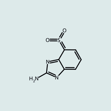 NC1=NC2=CC=CC(=S(=O)=O)C2=N1